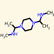 CNC(C)N1CCN(C(C)NC)CC1